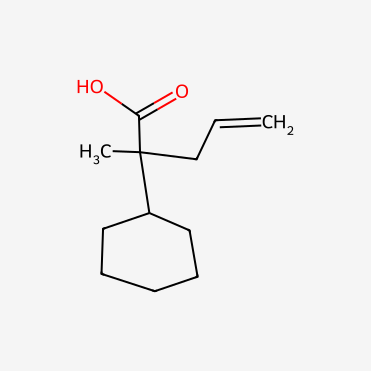 C=CCC(C)(C(=O)O)C1CCCCC1